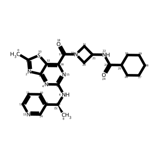 Cc1nc2nc(N[C@@H](C)c3cccnc3)nc(C(=O)N3CC(NC(=O)C4CCCCC4)C3)c2s1